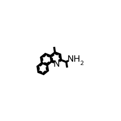 Cc1cc(C(C)N)nc2c1ccc1ccccc12